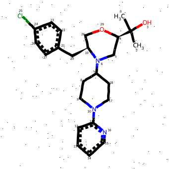 CC(C)(O)[C@H]1CN(C2CCN(c3ccccn3)CC2)[C@@H](Cc2ccc(Cl)cc2)CO1